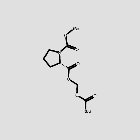 CC(C)(C)OC(=O)N1CCC[C@H]1C(=O)OCOC(=O)C(C)(C)C